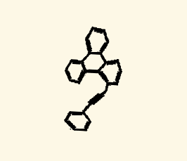 C(#Cc1cccc2c3ccccc3c3ccccc3c12)c1cc[c]cc1